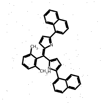 Cc1cccc(C)c1/C(=C1\C=CC(c2cccc3ccccc23)=N1)c1ccc(-c2cccc3ccccc23)[nH]1